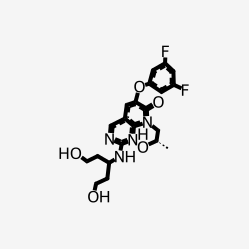 C[C@H](O)Cn1c(=O)c(Oc2cc(F)cc(F)c2)cc2cnc(NC(CCO)CCO)nc21